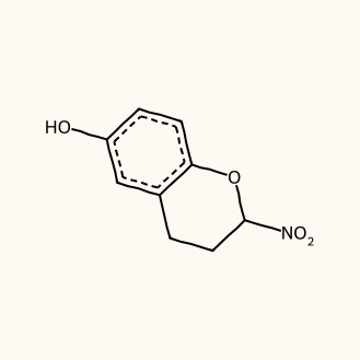 O=[N+]([O-])C1CCc2cc(O)ccc2O1